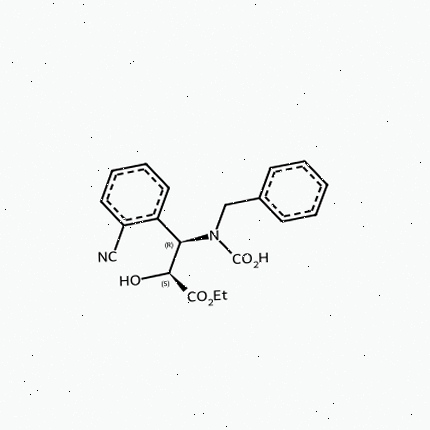 CCOC(=O)[C@@H](O)[C@@H](c1ccccc1C#N)N(Cc1ccccc1)C(=O)O